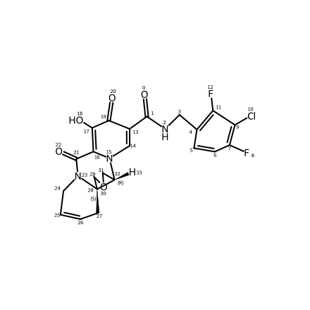 O=C(NCc1ccc(F)c(Cl)c1F)c1cn2c(c(O)c1=O)C(=O)N1CC=CC[C@]13COC[C@H]23